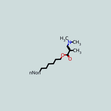 CCCCCCCCCCCCCCCOC(=O)C(C)=CN(C)C